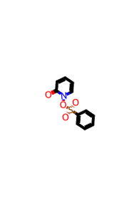 O=c1ccccn1OS(=O)(=O)c1ccccc1